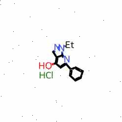 CCn1ncc2c(O)cc(-c3ccccc3)nc21.Cl